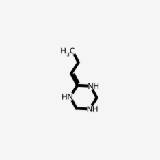 CCC=C1NCNCN1